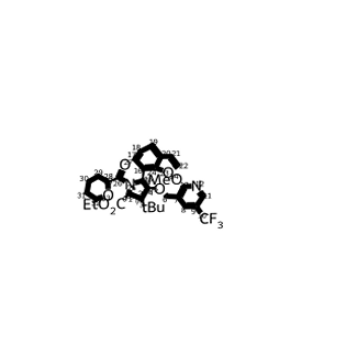 CCOC(=O)[C@@H]1[C@@H](C(C)(C)C)[C@H](OCc2cc(C(F)(F)F)cnc2OC)[C@H](c2cccc3ccoc23)N1C(=O)[C@@H]1CCCCO1